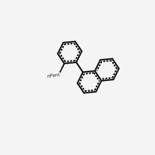 CCCCCc1ccccc1-c1cccc2ccccc12